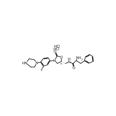 Cl.Cl.NC(Cc1ccccc1)C(=O)NC[C@@H]1CN(c2ccc(N3CCNCC3)c(F)c2)C(=O)O1